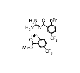 CCCc1ccc(C(F)(F)F)cc1C(=O)N=C(N)N.CCCc1ccc(C(F)(F)F)cc1C(=O)OC